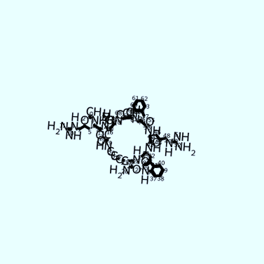 CC(=O)N[C@@H](CCCNC(=N)N)C(=O)N[C@H]1CC(=O)NCCCC[C@@H](C(N)=O)NC(=O)[C@H](Cc2c[nH]c3ccccc23)NC(=O)[C@H](CCCNC(=N)N)NC(=O)[C@@H](Cc2ccccc2)NC(=O)C(C)(C)NC1=O